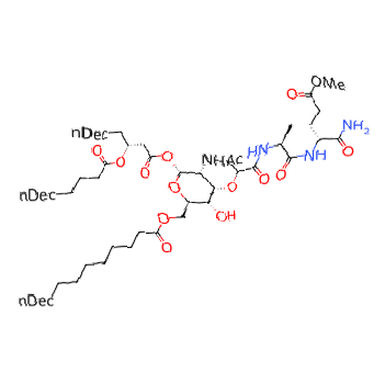 CCCCCCCCCCCCCCCCCC(=O)OC[C@H]1O[C@H](OC(=O)C[C@@H](CCCCCCCCCCC)OC(=O)CCCCCCCCCCCCC)[C@H](NC(C)=O)[C@H](OC(C)C(=O)N[C@@H](C)C(=O)N[C@H](CCC(=O)OC)C(N)=O)[C@@H]1O